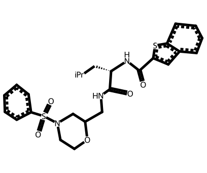 CC(C)C[C@H](NC(=O)c1cc2ccccc2s1)C(=O)NCC1CN(S(=O)(=O)c2ccccc2)CCO1